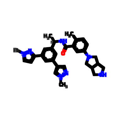 CCn1ccc(-c2cc(-c3cnn(C)c3)cc([C@@H](C)NC(=O)c3cc(N4CC5CNCC5C4)ccc3C)c2)n1